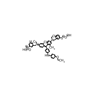 CCOc1ccc(Nc2ccc(/C(=C3C=C/C(=[N+](/CC)Cc4cccc(S(=O)(=O)O)c4)C=C\3C)c3ccc(N(CC)Cc4cccc(SOOO)c4)cc3C)cc2)cc1